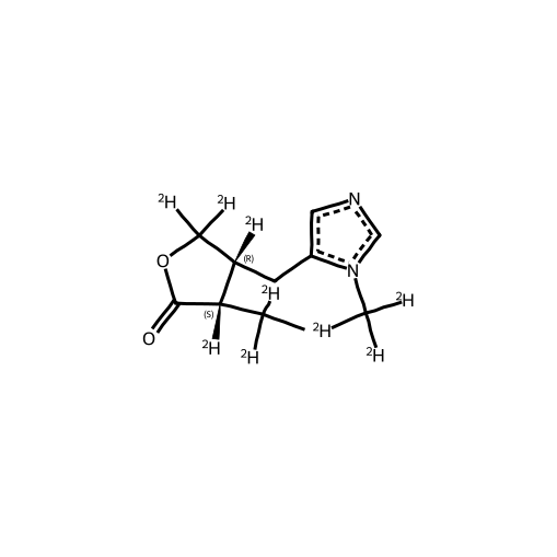 [2H]C([2H])([2H])n1cncc1C[C@@]1([2H])C([2H])([2H])OC(=O)[C@@]1([2H])C([2H])([2H])C